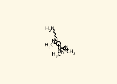 Cc1nc(N2CCc3c(c(C)nn3CCCCCN)C2)c2cnn(C)c2n1